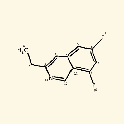 CCc1cc2cc(F)cc(F)c2cn1